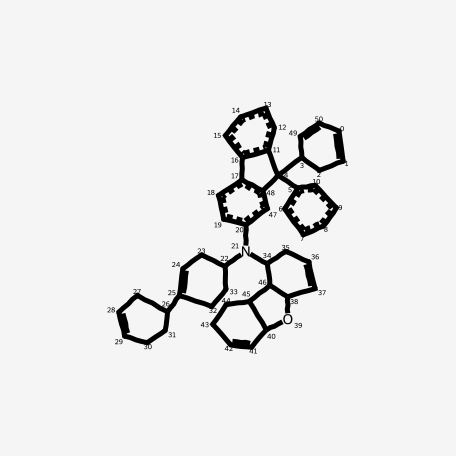 C1=CCC(C2(c3ccccc3)c3ccccc3-c3ccc(N(C4CC=C(C5CC=CCC5)CC4)C4CC=CC5OC6C=CCCC6C54)cc32)C=C1